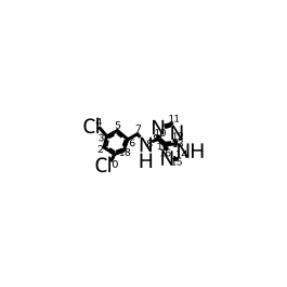 Clc1cc(Cl)cc(CNc2ncnc3[nH]cnc23)c1